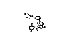 CC1=CCNC(NC(=O)C2=C(C)NC3C=CC(C4=CC=CC(OC[C@H](O)CO)C4)NN23)C1